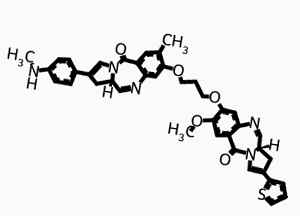 CNc1ccc(C2=CN3C(=O)c4cc(C)c(OCCCOc5cc6c(cc5OC)C(=O)N5C=C(c7cccs7)C[C@H]5C=N6)cc4N=C[C@@H]3C2)cc1